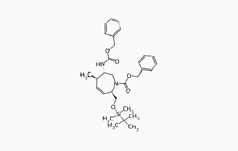 C[C@@H]1C=C[C@H](CO[Si](C)(C)C(C)(C)C)N(C(=O)OCc2ccccc2)C[C@H]1NC(=O)OCc1ccccc1